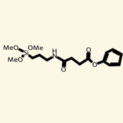 CO[Si](CCCNC(=O)CCC(=O)Oc1ccccc1)(OC)OC